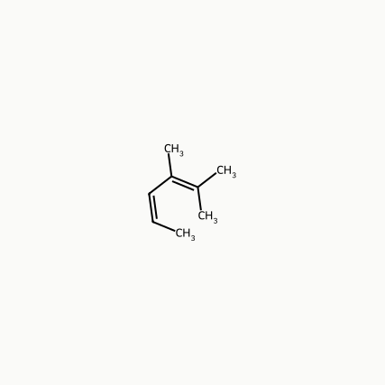 C/C=C\C(C)=C(C)C